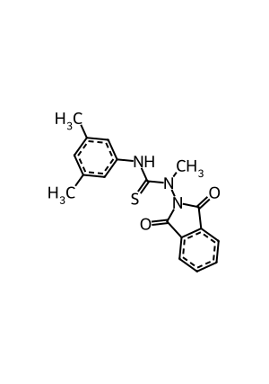 Cc1cc(C)cc(NC(=S)N(C)N2C(=O)c3ccccc3C2=O)c1